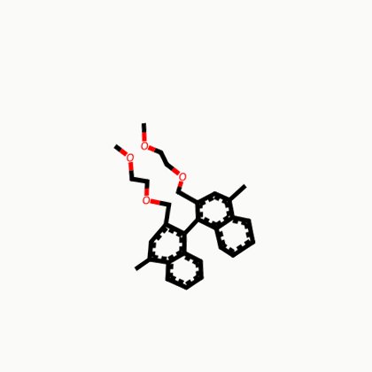 COCCOCc1cc(C)c2ccccc2c1-c1c(COCCOC)cc(C)c2ccccc12